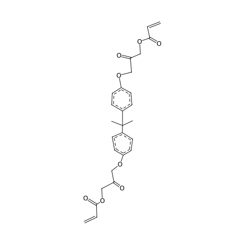 C=CC(=O)OCC(=O)COc1ccc(C(C)(C)c2ccc(OCC(=O)COC(=O)C=C)cc2)cc1